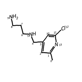 Cc1cc(CNCCCN)cc(Cl)n1